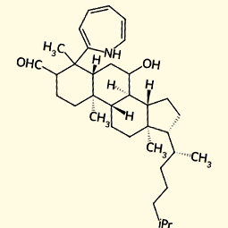 CC(C)CCC[C@@H](C)[C@H]1CC[C@H]2[C@@H]3C(O)C[C@H]4C(C)(C5=CC=CC=CN5)C(C=O)CC[C@]4(C)[C@H]3CC[C@]12C